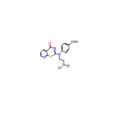 CCN(CC)CCN(c1ccc(OC)cc1)c1nc(=O)c2cccnc2s1